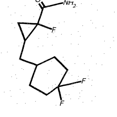 NC(=O)C1(F)CC1CC1CCC(F)(F)CC1